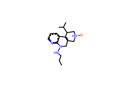 CCCNN1CC2=C(c3cccnc31)C(C(C)C)C[NH+]([O-])C2